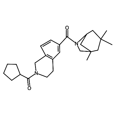 CC1(C)CC2CC(C)(CN2C(=O)c2ccc3c(c2)CCN(C(=O)C2CCCC2)C3)C1